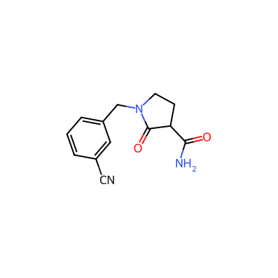 N#Cc1cccc(CN2CCC(C(N)=O)C2=O)c1